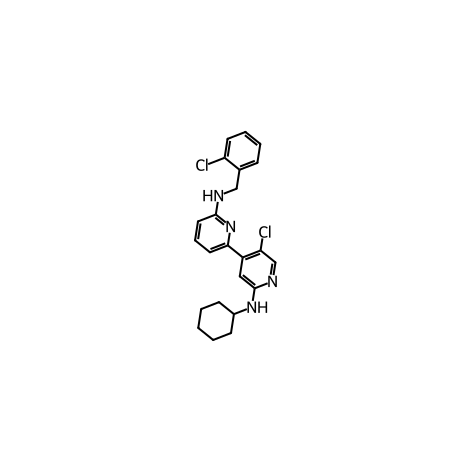 Clc1ccccc1CNc1cccc(-c2cc(NC3CCCCC3)ncc2Cl)n1